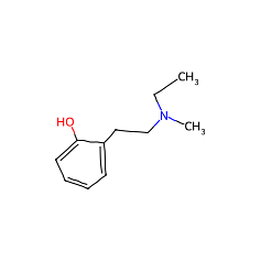 CCN(C)CCc1ccccc1O